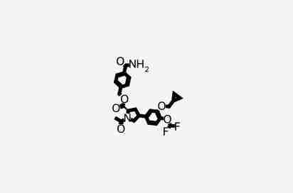 CC(=O)N1CC(c2ccc(OC(F)F)c(OCC3CC3)c2)C[C@@H]1C(=O)OCc1ccc(C(N)=O)cc1